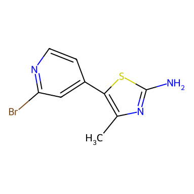 Cc1nc(N)sc1-c1ccnc(Br)c1